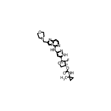 CC1(NC(=O)O[C@H]2CO[C@@H](c3cc(Nc4nccc5nc(CN6CCOCC6)cn45)n[nH]3)[C@H]2F)CC1